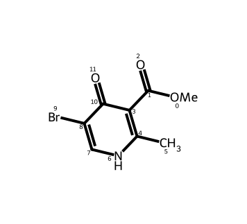 COC(=O)c1c(C)[nH]cc(Br)c1=O